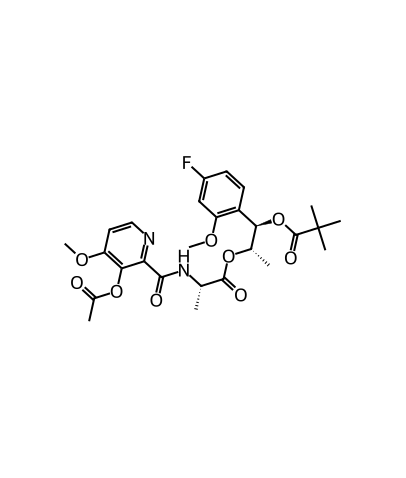 COc1cc(F)ccc1[C@@H](OC(=O)C(C)(C)C)[C@H](C)OC(=O)[C@H](C)NC(=O)c1nccc(OC)c1OC(C)=O